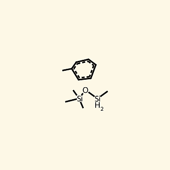 C[SiH2]O[Si](C)(C)C.Cc1ccccc1